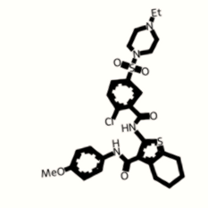 CCN1CCN(S(=O)(=O)c2ccc(Cl)c(C(=O)Nc3sc4c(c3C(=O)Nc3ccc(OC)cc3)CCCC4)c2)CC1